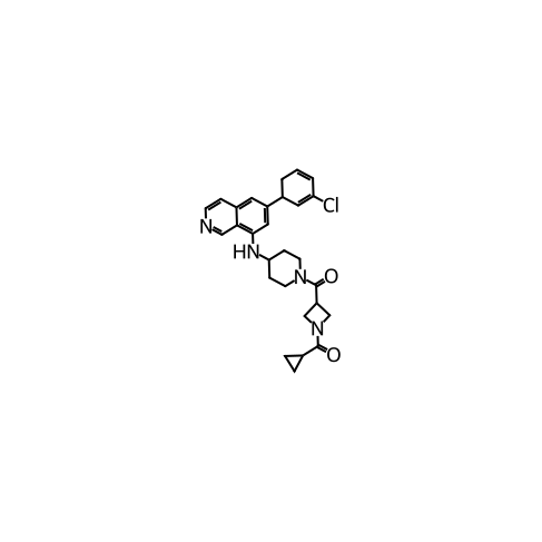 O=C(C1CN(C(=O)C2CC2)C1)N1CCC(Nc2cc(C3C=C(Cl)C=CC3)cc3ccncc23)CC1